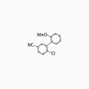 COc1ccccc1-c1cc(C#N)c[c]c1Cl